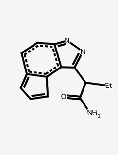 CCC(C(N)=O)C1=NN=c2ccc3c(c21)C=CC=3